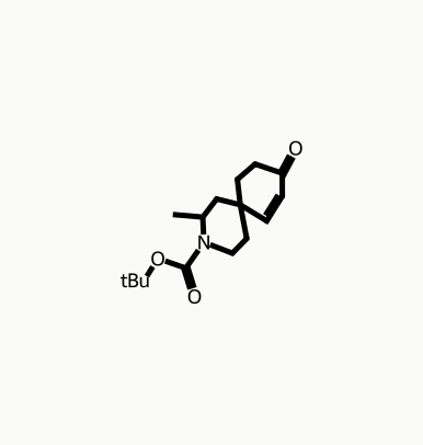 CC1CC2(C=CC(=O)CC2)CCN1C(=O)OC(C)(C)C